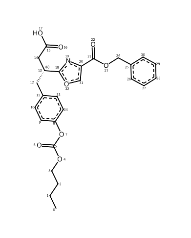 CCCCOC(=O)Oc1ccc(C[C@H](CC(=O)O)c2nc(C(=O)OCc3ccccc3)co2)cc1